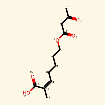 CC(=O)CC(=O)OCCCCC=C(C)C(=O)O